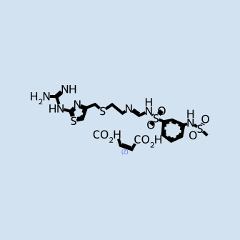 CS(=O)(=O)Nc1cccc(S(=O)(=O)NC=NCCSCc2csc(NC(=N)N)n2)c1.O=C(O)/C=C\C(=O)O